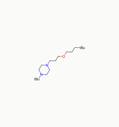 CC(C)(C)CCCOCCCN1CCN(C(C)(C)C)CC1